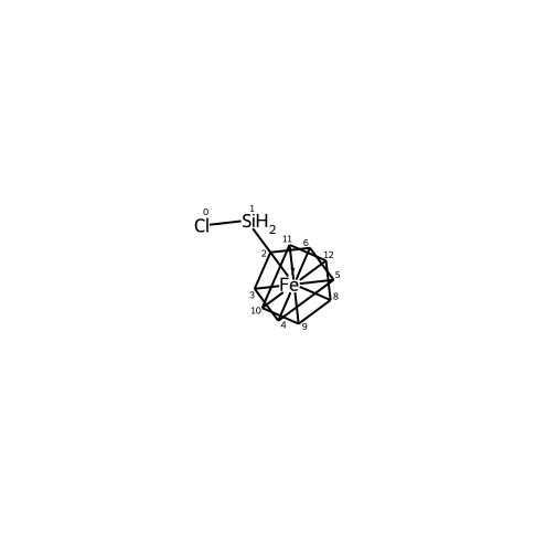 Cl[SiH2][C]12[CH]3[CH]4[CH]5[CH]1[Fe]45321678[CH]2[CH]1[CH]6[CH]7[CH]28